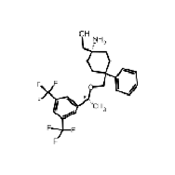 C[C@@H](OC[C@]1(c2ccccc2)CC[C@](N)(CO)CC1)c1cc(C(F)(F)F)cc(C(F)(F)F)c1